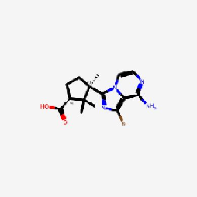 CC1(C)[C@@H](C(=O)O)CC[C@@]1(C)c1nc(Br)c2c(N)nccn12